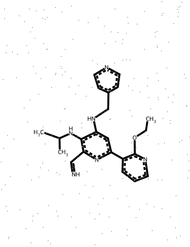 CCOc1ncccc1-c1cc(NCc2ccncc2)c(NC(C)C)c(C=N)n1